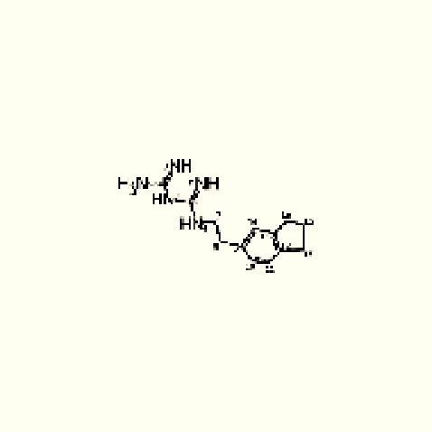 N=C(N)NC(=N)NCCc1ccc2c(c1)CCC2